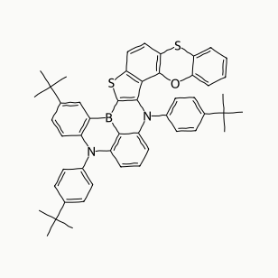 CC(C)(C)c1ccc(N2c3ccc(C(C)(C)C)cc3B3c4sc5ccc6c(c5c4N(c4ccc(C(C)(C)C)cc4)c4cccc2c43)Oc2ccccc2S6)cc1